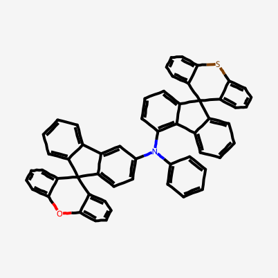 c1ccc(N(c2ccc3c(c2)-c2ccccc2C32c3ccccc3Oc3ccccc32)c2cccc3c2-c2ccccc2C32c3ccccc3Sc3ccccc32)cc1